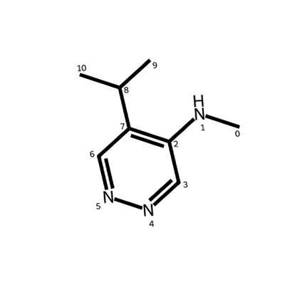 CNc1cnncc1C(C)C